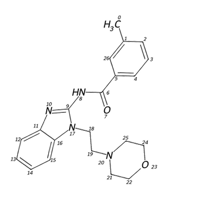 Cc1cccc(C(=O)Nc2nc3ccccc3n2CCN2CCOCC2)c1